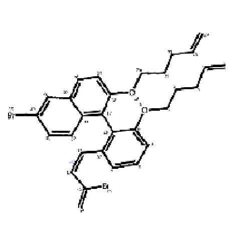 C=CCCCOc1cccc(/C=C\C(=C)Br)c1-c1c(OCCCC=C)ccc2cc(Br)ccc12